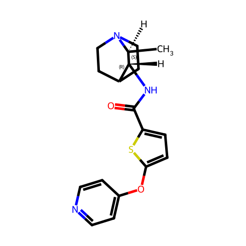 C[C@H]1[C@H](NC(=O)c2ccc(Oc3ccncc3)s2)C2CCN1CC2